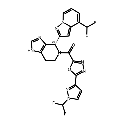 O=C(c1nnc(-c2ccn(C(F)F)n2)o1)N1CCc2[nH]cnc2[C@@H]1c1cc2c(C(F)F)cccn2n1